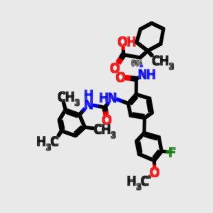 COc1ccc(-c2ccc(C(=O)N[C@H](C(=O)O)C3(C)CCCCC3)c(NC(=O)Nc3c(C)cc(C)cc3C)c2)cc1F